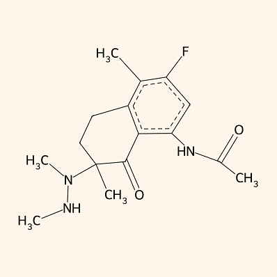 CNN(C)C1(C)CCc2c(C)c(F)cc(NC(C)=O)c2C1=O